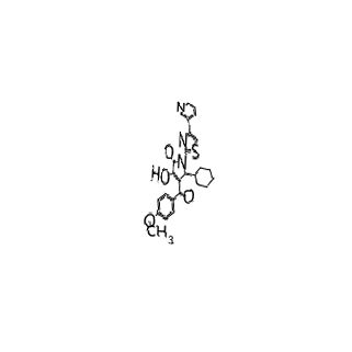 COc1ccc(C(=O)C2=C(O)C(=O)N(c3nc(-c4cccnc4)cs3)C2C2CCCCC2)cc1